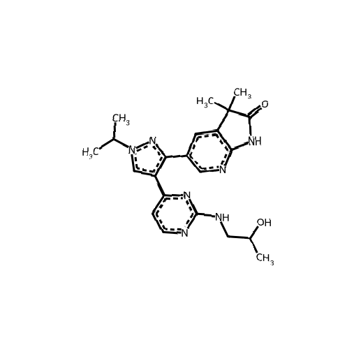 CC(O)CNc1nccc(-c2cn(C(C)C)nc2-c2cnc3c(c2)C(C)(C)C(=O)N3)n1